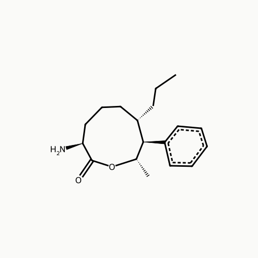 CCC[C@H]1CCC[C@H](N)C(=O)O[C@@H](C)[C@@H]1c1ccccc1